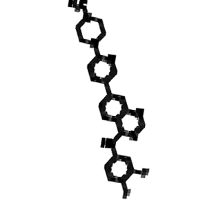 CN1CCN(c2ccc(-c3ccc4c(Nc5ccc(F)c(F)c5)ncnc4c3)cn2)CC1